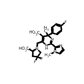 Cn1ccnc1C1=NC(C)(c2ccc(F)cc2)C(C(=O)O)=C(CN2CC(F)(F)CC2C(=O)O)N1